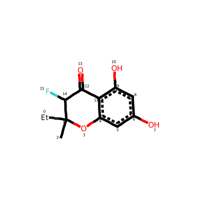 CCC1(C)Oc2cc(O)cc(O)c2C(=O)C1F